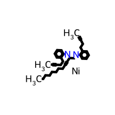 CC#CCCc1ccccc1N=CC(C#CCCCCCCCC)=Nc1ccccc1CCC#CC.[Ni]